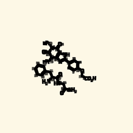 CCCn1c(=O)c2[nH]c(-c3ccc(OCC(=O)O)cc3)nc2n(CCC)c1=O.NC(=O)CNC(=O)[C@@H](N)Cc1ccccc1